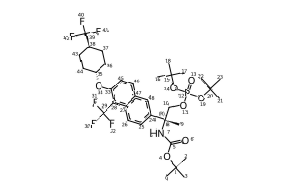 CC(C)(C)OC(=O)N[C@@](C)(COP(=O)(OC(C)(C)C)OC(C)(C)C)c1ccc2c(C(F)(F)F)c(O[C@H]3CC[C@H](C(F)(F)F)CC3)ccc2c1